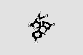 O=C1OC2(c3ccc(Cl)cc3Oc3cc(Cl)ccc32)c2cc(Cl)c(Cl)cc21